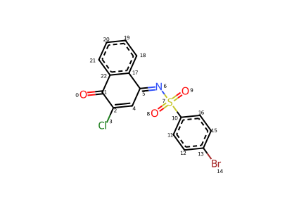 O=C1C(Cl)=C/C(=N\S(=O)(=O)c2ccc(Br)cc2)c2ccccc21